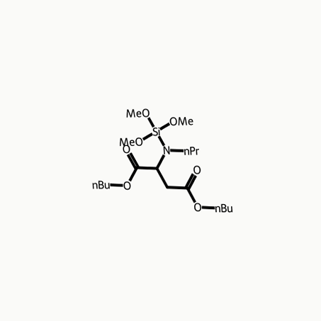 CCCCOC(=O)CC(C(=O)OCCCC)N(CCC)[Si](OC)(OC)OC